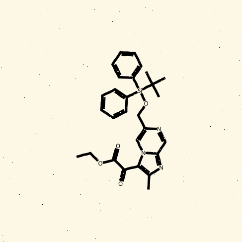 CCOC(=O)C(=O)c1c(C)nc2cnc(CO[Si](c3ccccc3)(c3ccccc3)C(C)(C)C)cn12